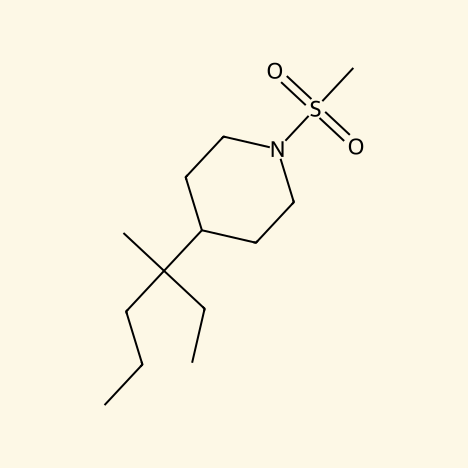 CCCC(C)(CC)C1CCN(S(C)(=O)=O)CC1